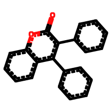 O=c1oc2ccccc2c(-c2ccccc2)c1-c1ccccc1